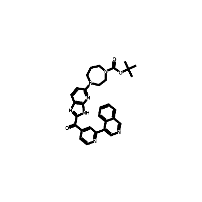 CC(C)(C)OC(=O)N1CCCN(c2ccc3nc(C(=O)c4ccnc(-c5cncc6ccccc56)c4)[nH]c3n2)CC1